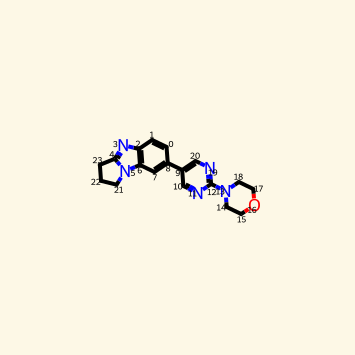 c1cc2nc3n(c2cc1-c1cnc(N2CCOCC2)nc1)CCC3